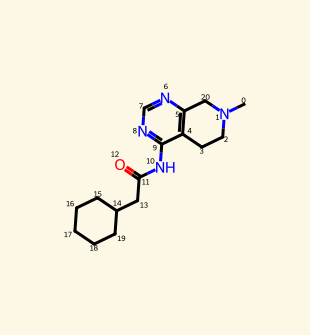 CN1CCc2c(ncnc2NC(=O)CC2CCCCC2)C1